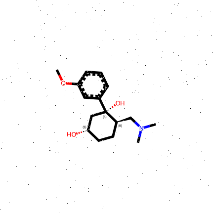 COc1cccc([C@]2(O)C[C@@H](O)CC[C@@H]2CN(C)C)c1